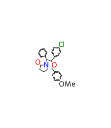 COc1ccc(CO[C@H](c2ccc(Cl)cc2)[C@H](c2ccccc2)N2CCCC2=O)cc1